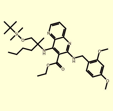 CCCCC(C)(CO[Si](C)(C)C(C)(C)C)Nc1c(C(=O)OCC)c(NCc2ccc(OC)cc2OC)nc2cccnc12